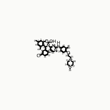 Cc1cc(C)c(C(c2cc(Cl)ccc2Cl)N(C(=O)O)c2ccnc(Nc3ccc(OCCN4CCN(C)CC4)c(F)c3)n2)c(C)c1